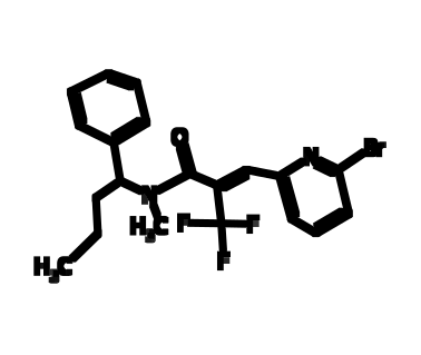 CCCC(c1ccccc1)N(C)C(=O)/C(=C/c1cccc(Br)n1)C(F)(F)F